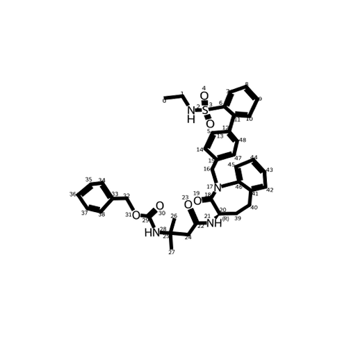 CCNS(=O)(=O)c1ccccc1-c1ccc(CN2C(=O)[C@H](NC(=O)CC(C)(C)NC(=O)OCc3ccccc3)CCc3ccccc32)cc1